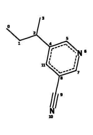 CCC(C)c1cncc(C#N)c1